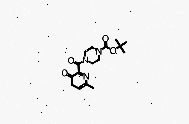 CC1=CCC(=O)C(C(=O)N2CCN(C(=O)OC(C)(C)C)CC2)=N1